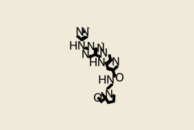 Cc1ncc(C(=O)NCCN2CCCC23COC3)cc1Nc1nn(C)c2nc(Nc3cnn(C)c3)ncc12